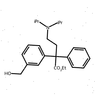 CCOC(=O)C(CCN(C(C)C)C(C)C)(c1ccccc1)c1cccc(CO)c1